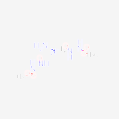 CC(C)(C)OC(=O)NCCNC(=O)CCC[N+](C)(CCN)CCCC(=O)NCCNC(=O)OC(C)(C)C